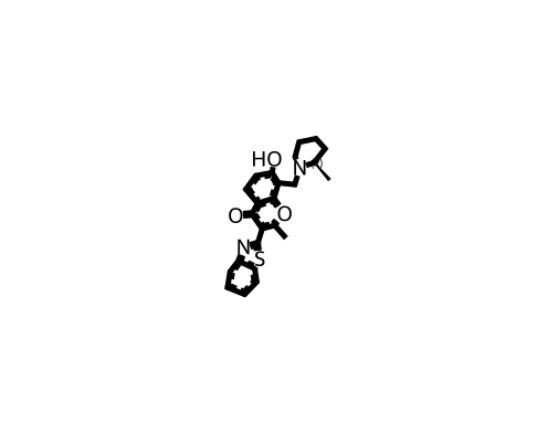 Cc1oc2c(CN3CCCC[C@H]3C)c(O)ccc2c(=O)c1-c1nc2ccccc2s1